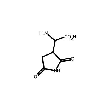 NC(C(=O)O)C1CC(=O)NC1=O